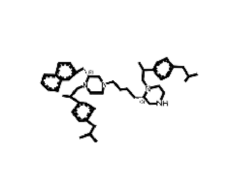 CC(C)Cc1ccc(C(C)CN2CCN(CCCC[C@H]3CNCCN3CC(C)c3ccc(CC(C)C)cc3)C[C@H]2Cc2ccc3ccccc3c2)cc1